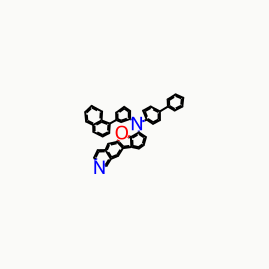 c1ccc(-c2ccc(N(c3cccc(-c4cccc5ccccc45)c3)c3cccc4c3oc3cc5ccncc5cc34)cc2)cc1